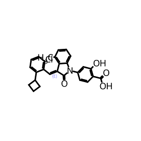 Cc1cccc2c1/C(=C\c1c(Cl)cccc1C1CCC1)C(=O)N2c1ccc(C(=O)O)c(O)c1